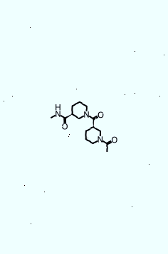 CNC(=O)[C@H]1CCCN(C(=O)[C@@H]2CCCN(C(C)=O)C2)C1